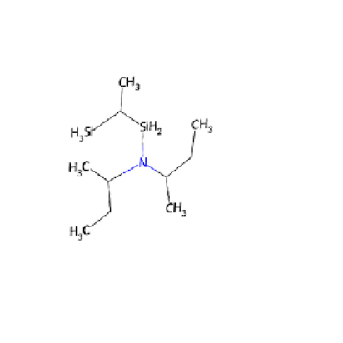 CCC(C)N([SiH2]C(C)[SiH3])C(C)CC